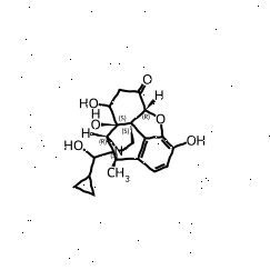 C[N@+]1(C(O)C2CC2)CC[C@]23c4c5ccc(O)c4O[C@H]2C(=O)CC(O)[C@@]3(O)[C@H]1C5